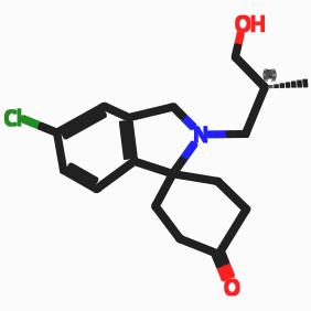 C[C@@H](CO)CN1Cc2cc(Cl)ccc2C12CCC(=O)CC2